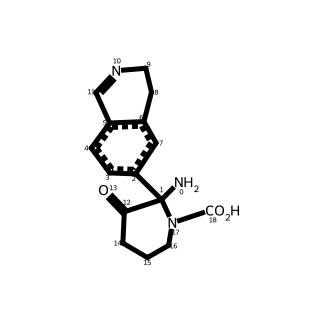 NC1(c2ccc3c(c2)CCN=C3)C(=O)CCCN1C(=O)O